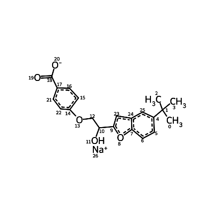 CC(C)(C)c1ccc2oc(C(O)COc3ccc(C(=O)[O-])cc3)cc2c1.[Na+]